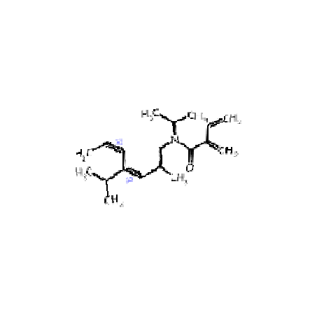 C=CC(=C)C(=O)N(CC(C)/C=C(\C=C/C)C(C)C)C(C)C